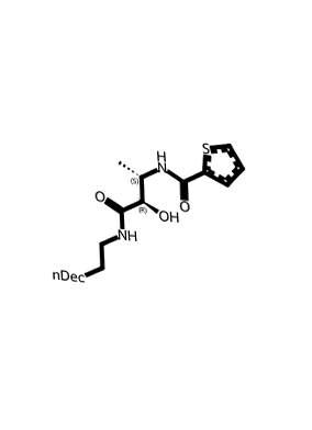 CCCCCCCCCCCCNC(=O)[C@H](O)[C@H](C)NC(=O)c1cccs1